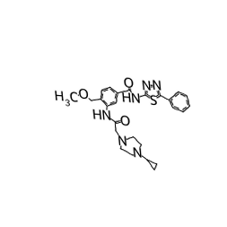 COCc1ccc(C(=O)Nc2nnc(-c3ccccc3)s2)cc1NC(=O)CN1CCN(C2CC2)CC1